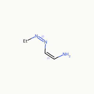 CC/N=N\C=C/N